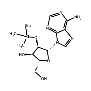 CC(C)(C)[Si](C)(C)O[C@@H]1[C@H](O)[C@@H](CO)O[C@H]1n1cnc2c(N)ncnc21